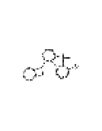 CC1(C)c2cccc(C3Cc4ccccc43)c2-c2cccc(Br)c21